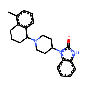 Cc1cccc2c1CCCC2N1CCC(n2c(=O)[nH]c3ccccc32)CC1